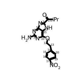 CC(C)C(=O)c1nc2nc(N)nc(OCCc3ccc([N+](=O)[O-])cc3)c2[nH]1